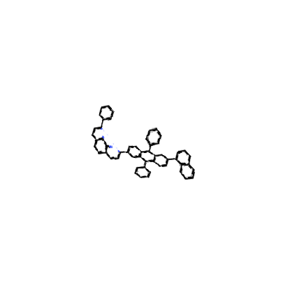 c1ccc(-c2ccc3ccc4ccc(-c5ccc6c(-c7ccccc7)c7cc(-c8cccc9ccccc89)ccc7c(-c7ccccc7)c6c5)nc4c3n2)cc1